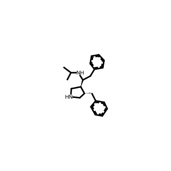 CC(C)NC(Cc1ccccc1)[C@@H]1CNC[C@H]1Cc1ccccc1